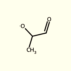 CC([O])C=O